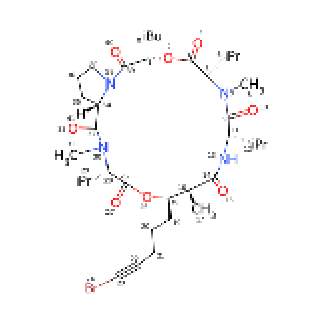 CC[C@H](C)[C@@H]1OC(=O)[C@H](C(C)C)N(C)C(=O)[C@H](C(C)C)NC(=O)[C@@H](C)[C@@H](CCCC#CBr)OC(=O)[C@H](C(C)C)N(C)C(=O)[C@@H]2CCCN2C1=O